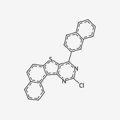 Clc1nc(-c2ccc3ccccc3c2)c2sc3ccc4ccccc4c3c2n1